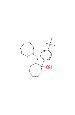 CC(C)(C)c1ccc(C2(O)CCCCCC2CN2CCCCCC2)cc1